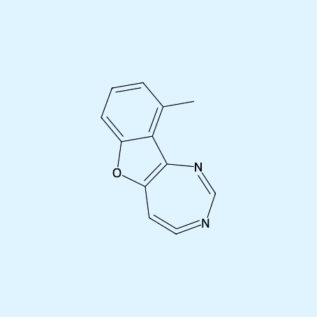 Cc1cccc2oc3c(c12)N=CN=C=C3